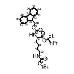 CCCC(CC)OC(=O)[C@@H](CCCCNC(=O)OC(C)(C)C)NC(=O)OCC1c2ccccc2-c2ccccc21